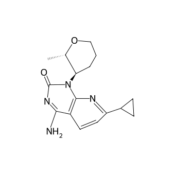 C[C@@H]1OCCC[C@H]1n1c(=O)nc(N)c2ccc(C3CC3)nc21